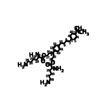 CN(C)c1ccc(/C=C/C=C/c2ccc(N(CCOC(=O)C(N)CCCCN)CCOC(=O)C(N)CCCCN)cc2)cc1